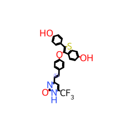 O=c1nc(/C=C/c2ccc(Oc3c(-c4ccc(O)cc4)sc4cc(O)ccc34)cc2)cc(C(F)(F)F)[nH]1